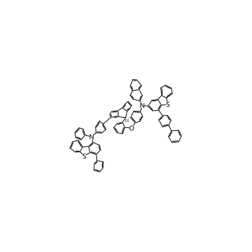 c1ccc(-c2ccc(-c3cc(N(c4ccc5c(c4)[C@@]4(c6ccccc6O5)c5ccccc5-c5ccc(-c6ccc(N(c7ccccc7)c7ccc(-c8ccccc8)c8sc9ccccc9c78)cc6)cc54)c4ccc5ccccc5c4)cc4c3sc3ccccc34)cc2)cc1